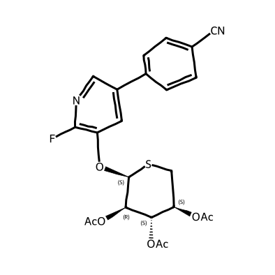 CC(=O)O[C@@H]1[C@@H](OC(C)=O)[C@@H](Oc2cc(-c3ccc(C#N)cc3)cnc2F)SC[C@H]1OC(C)=O